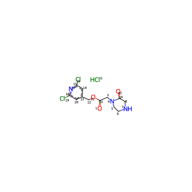 Cl.O=C(CN1CCNCC1=O)OCc1cc(Cl)nc(Cl)c1